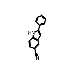 N#Cc1ccc2[nH]c(-c3cc[c]cc3)cc2c1